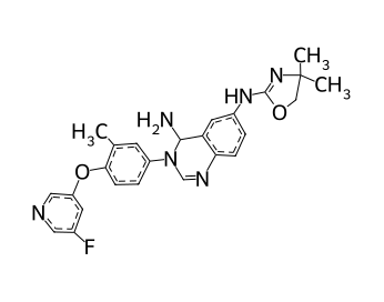 Cc1cc(N2C=Nc3ccc(NC4=NC(C)(C)CO4)cc3C2N)ccc1Oc1cncc(F)c1